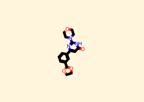 O=c1cc(-c2cccc(C3OCCO3)c2)nc(N2CCOCC2)[nH]1